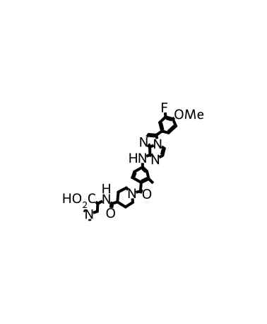 COc1ccc(-c2cnc3c(Nc4ccc(C(=O)N5CCC(C(=O)NC(CN(C)C)C(=O)O)CC5)c(C)c4)nccn23)cc1F